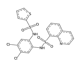 O=S(=O)(Nc1cc(Cl)c(Cl)cc1NS(=O)(=O)c1cccc2cccnc12)c1cccs1